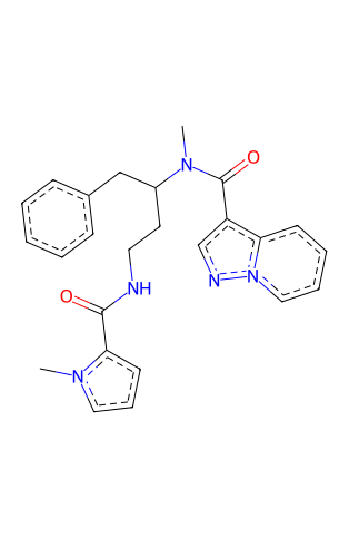 CN(C(=O)c1cnn2ccccc12)C(CCNC(=O)c1cccn1C)Cc1ccccc1